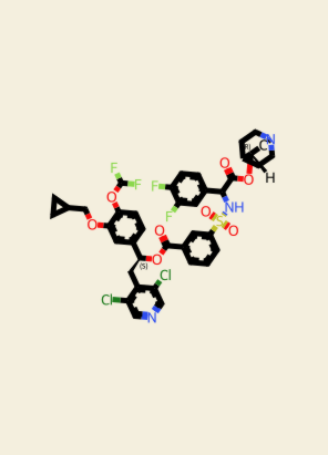 O=C(O[C@@H](Cc1c(Cl)cncc1Cl)c1ccc(OC(F)F)c(OCC2CC2)c1)c1cccc(S(=O)(=O)NC(C(=O)O[C@H]2CN3CCC2CC3)c2ccc(F)c(F)c2)c1